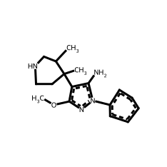 COc1nn(-c2ccccc2)c(N)c1C1(C)CCNCC1C